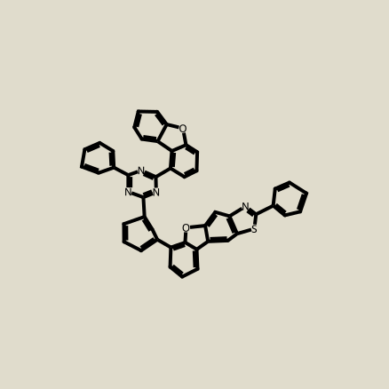 c1ccc(-c2nc(-c3cccc(-c4cccc5c4oc4cc6nc(-c7ccccc7)sc6cc45)c3)nc(-c3cccc4oc5ccccc5c34)n2)cc1